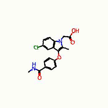 CNC(=O)c1ccc(Oc2c(C)n(CC(=O)O)c3ccc(Cl)cc23)cc1